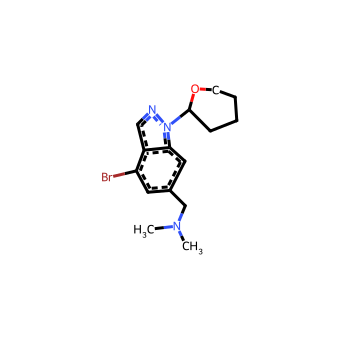 CN(C)Cc1cc(Br)c2cnn(C3CCCCO3)c2c1